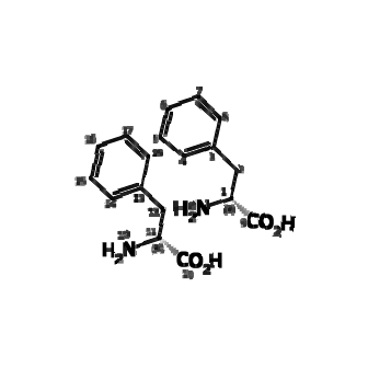 N[C@H](Cc1ccccc1)C(=O)O.N[C@H](Cc1ccccc1)C(=O)O